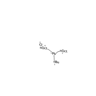 CCCCCCC[CH2][Pb+]([CH2]CCC)[CH2]CCCCCCC.[Cl-]